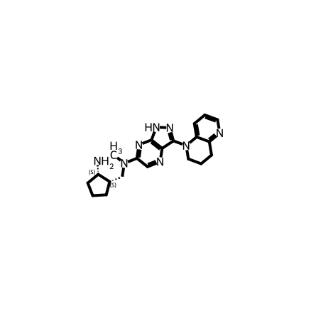 CN(C[C@@H]1CCC[C@@H]1N)c1cnc2c(N3CCCc4ncccc43)n[nH]c2n1